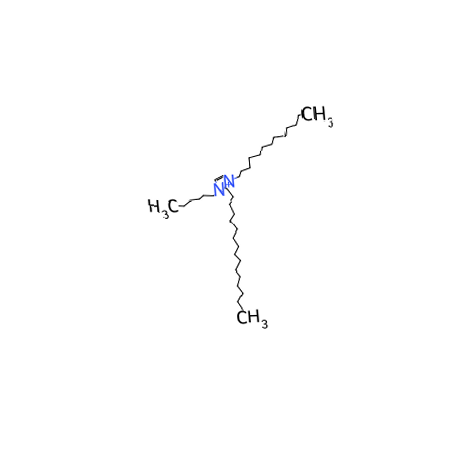 CCCCCCCCCCCCCCCCc1n(CCCCCCCCCCCCC)cc[n+]1CCCCCC